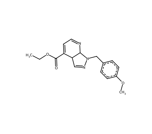 CCOC(=O)C1=CC=NC2C1C=NN2Cc1ccc(OC)cc1